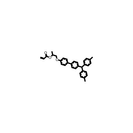 C=CC(=O)OC(C)COc1ccc(-c2ccc(C(c3ccc(C)cc3)c3ccc(C)cc3)cc2)cc1